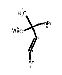 CCCC(C)(/C=C/C(C)=O)OC